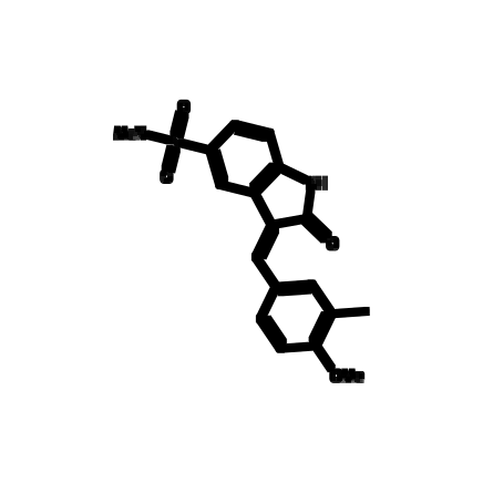 CNS(=O)(=O)c1ccc2c(c1)C(=Cc1ccc(OC)c(C)c1)C(=O)N2